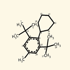 Cc1cc(C(C)(C)C)c([C]2CCCCC2)c(C(C)(C)C)c1